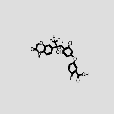 C[C@H](c1ccc(Oc2ccc(F)c(C(=O)O)c2)cc1Cl)[C@@](O)(c1ccc2c(c1)OCC(=O)N2C)C(F)(F)F